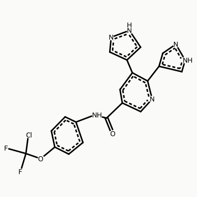 O=C(Nc1ccc(OC(F)(F)Cl)cc1)c1cnc(-c2cn[nH]c2)c(-c2cn[nH]c2)c1